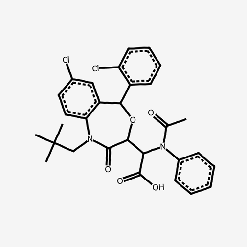 CC(=O)N(c1ccccc1)C(C(=O)O)C1OC(c2ccccc2Cl)c2cc(Cl)ccc2N(CC(C)(C)C)C1=O